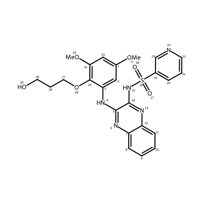 COc1cc(Nc2nc3ccccc3nc2NS(=O)(=O)c2cccnc2)c(OCCCO)c(OC)c1